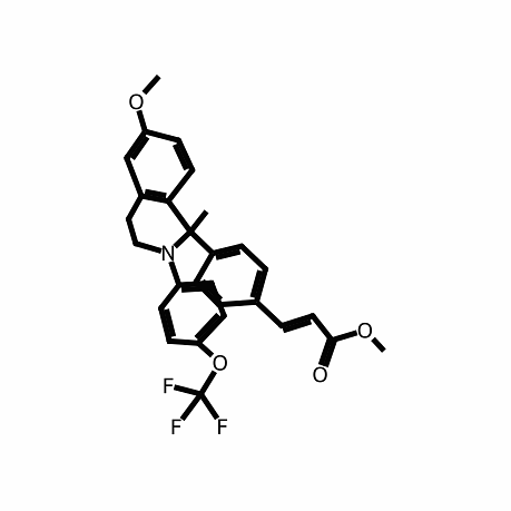 COC(=O)/C=C/c1ccc(C2(C)c3ccc(OC)cc3CCN2c2ccc(OC(F)(F)F)cc2)cc1